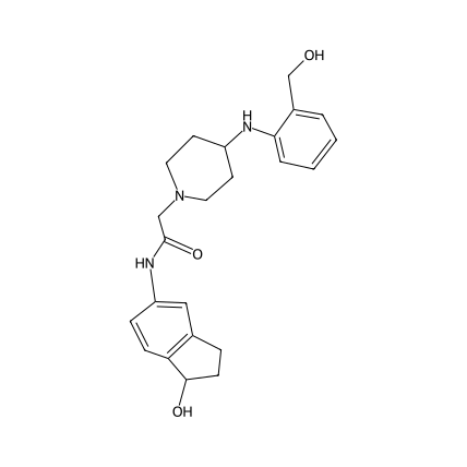 O=C(CN1CCC(Nc2ccccc2CO)CC1)Nc1ccc2c(c1)CCC2O